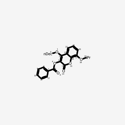 CCCCCCCCCCOc1c(OC(=O)c2ccccc2)c(=O)oc2c(OC(C)C)cccc12